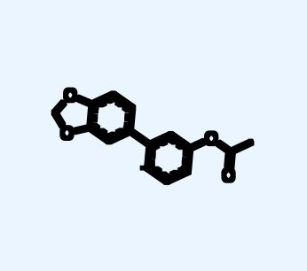 CC(=O)Oc1cc[c]c(-c2ccc3c(c2)OCO3)c1